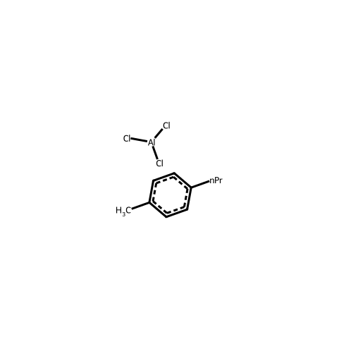 [CH2]CCc1ccc(C)cc1.[Cl][Al]([Cl])[Cl]